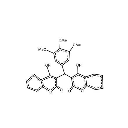 COc1cc(C(c2c(O)c3ccccc3oc2=O)c2c(O)c3ccccc3oc2=O)cc(OC)c1OC